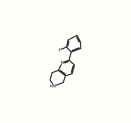 Fc1ccccc1-c1ccc2c(n1)CCNC2